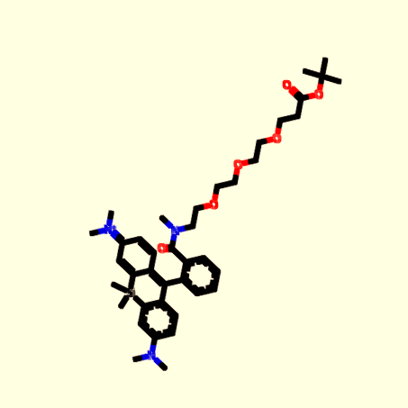 CN(CCOCCOCCOCCC(=O)OC(C)(C)C)C(=O)c1ccccc1C1=C2C=CC(=[N+](C)C)C=C2[Si](C)(C)c2cc(N(C)C)ccc21